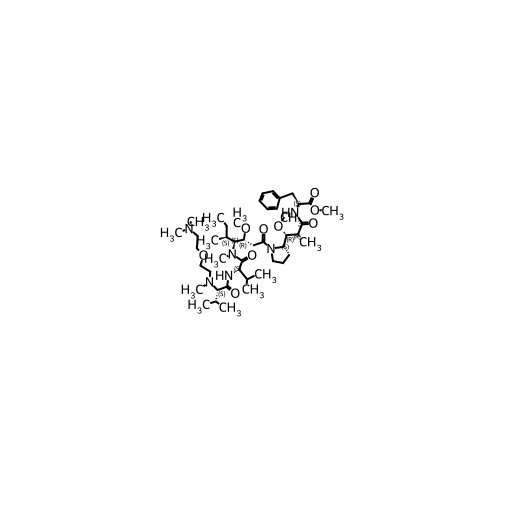 CC[C@H](C)[C@@H]([C@@H](CC(=O)N1CCC[C@H]1[C@H](OC)[C@@H](C)C(=O)N[C@@H](Cc1ccccc1)C(=O)OC)OC)N(C)C(=O)[C@@H](NC(=O)[C@H](C(C)C)N(C)CCOCCN(C)C)C(C)C